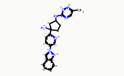 Cc1cnc(NC2CCC(N)(c3ccc(-n4cc5ccccc5n4)cn3)C2)nn1